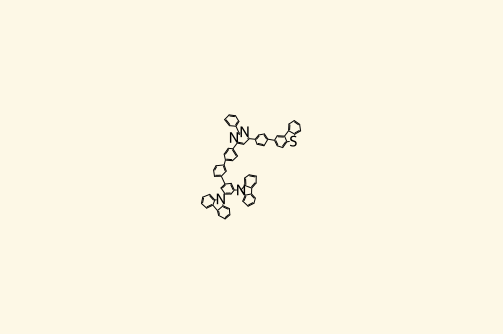 c1ccc(-c2nc(-c3ccc(-c4cccc(-c5cc(-n6c7ccccc7c7ccccc76)cc(-n6c7ccccc7c7ccccc76)c5)c4)cc3)cc(-c3ccc(-c4ccc5sc6ccccc6c5c4)cc3)n2)cc1